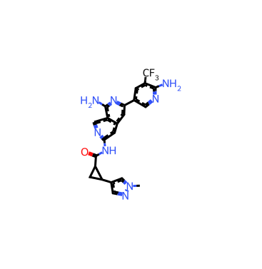 Cn1cc(C2CC2C(=O)Nc2cc3cc(-c4cnc(N)c(C(F)(F)F)c4)nc(N)c3cn2)cn1